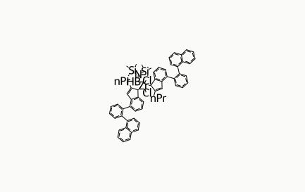 CCCC1=Cc2c(-c3ccccc3-c3cccc4ccccc34)cccc2[CH]1[Zr]([Cl])([Cl])([BH]N([Si](C)(C)C)[Si](C)(C)C)[CH]1C(CCC)=Cc2c(-c3ccccc3-c3cccc4ccccc34)cccc21